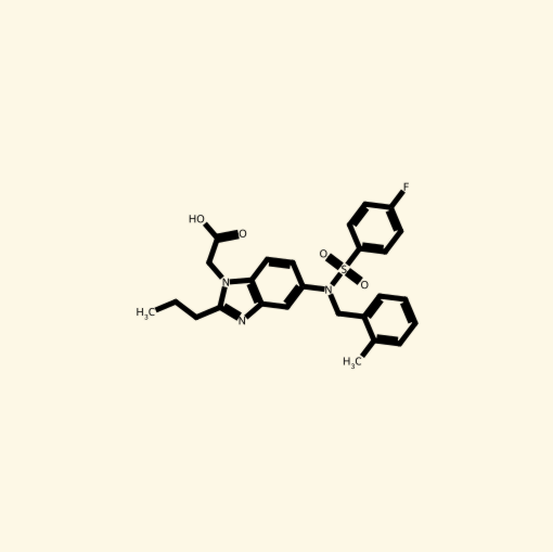 CCCc1nc2cc(N(Cc3ccccc3C)S(=O)(=O)c3ccc(F)cc3)ccc2n1CC(=O)O